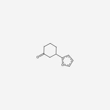 O=C1CCCC(c2ccco2)C1